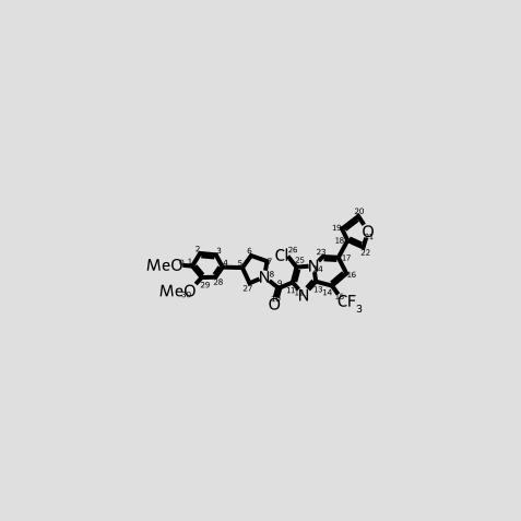 COc1ccc(C2CCN(C(=O)c3nc4c(C(F)(F)F)cc(-c5ccoc5)cn4c3Cl)C2)cc1OC